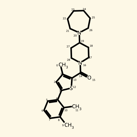 Cc1cc(-c2cccc(C)c2C)sc1C(=O)N1CCC(N2CCCCCC2)CC1